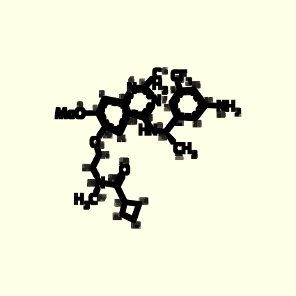 COc1cc2nc(C)nc(N[C@H](C)c3cc(N)cc(C(F)(F)F)c3)c2cc1OCCN(C)C(=O)C1CCC1